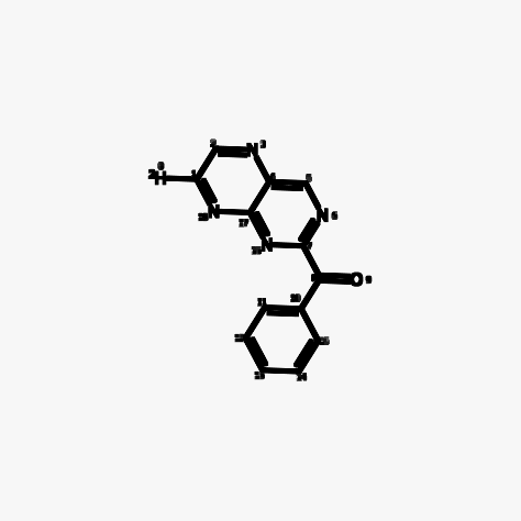 [2H]c1cnc2cnc(C(=O)c3ccccc3)nc2n1